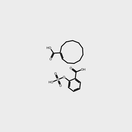 O=C(O)C1=CCCCCCCCCC1.O=C(O)c1ccccc1OS(=O)(=O)O